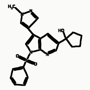 Cn1cc(-c2cn(S(=O)(=O)c3ccccc3)c3ncc(C4(O)CCCC4)cc23)cn1